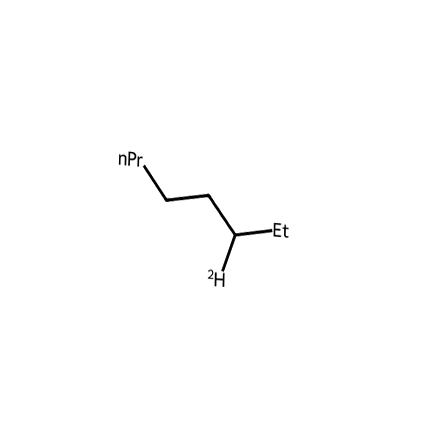 [2H]C(CC)CCCCC